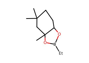 CCB1OC2CCC(C)(C)CC2(C)O1